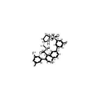 Cc1cc(F)cc(-c2cnc3ccc(-c4cc(F)cc(S(N)(=O)=O)c4)cc3c2C(=O)N(C)C[C@@H]2CCCN2)c1